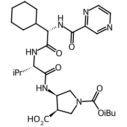 CC(C)COC(=O)N1C[C@H](NC(=O)[C@@H](NC(=O)[C@@H](NC(=O)c2cnccn2)C2CCCCC2)C(C)C)[C@H](C(=O)O)C1